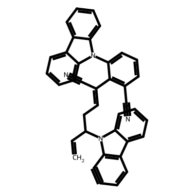 C=CC(C/C=C(\C#N)c1c(C#N)cccc1-n1c2ccccc2c2ccccc21)n1c2c#cccc2c2ccccc21